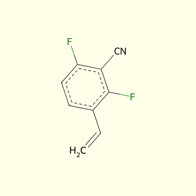 C=Cc1ccc(F)c(C#N)c1F